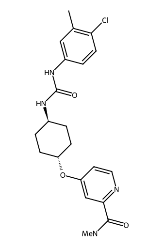 CNC(=O)c1cc(O[C@H]2CC[C@H](NC(=O)Nc3ccc(Cl)c(C)c3)CC2)ccn1